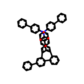 c1ccc(-c2ccc(N(c3ccc(-c4ccccc4)cc3)c3ccc(-c4c5cc(-c6ccccc6)cc4-c4cc(-c6ccccc6)ccc4-c4ccccc4-5)cc3)cc2)cc1